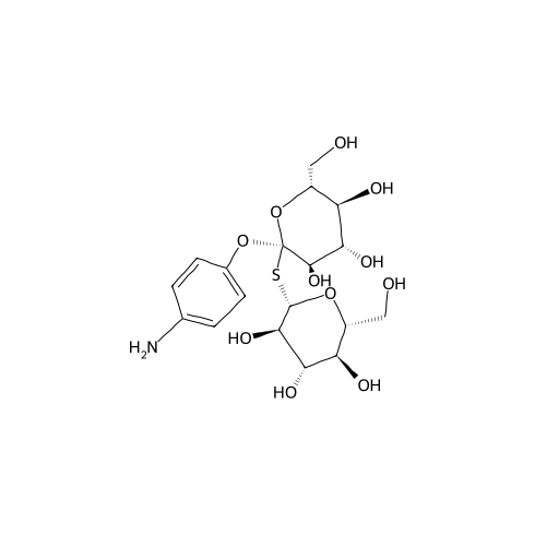 Nc1ccc(O[C@]2(S[C@@H]3O[C@H](CO)[C@@H](O)[C@H](O)[C@H]3O)O[C@H](CO)[C@@H](O)[C@H](O)[C@H]2O)cc1